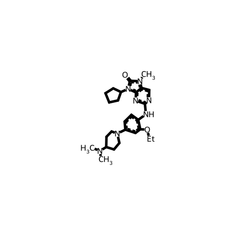 CCOc1cc(N2CCC(N(C)C)CC2)ccc1Nc1ncc2c(n1)n(C1CCCC1)c(=O)n2C